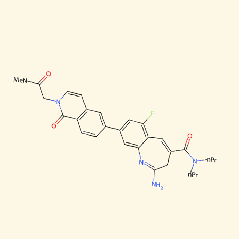 CCCN(CCC)C(=O)C1=Cc2c(F)cc(-c3ccc4c(=O)n(CC(=O)NC)ccc4c3)cc2N=C(N)C1